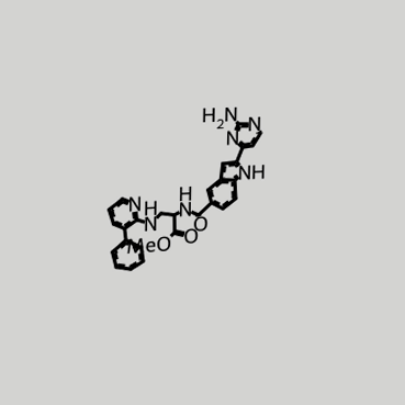 COC(=O)C(CNc1ncccc1-c1ccccc1)NC(=O)c1ccc2[nH]c(-c3ccnc(N)n3)cc2c1